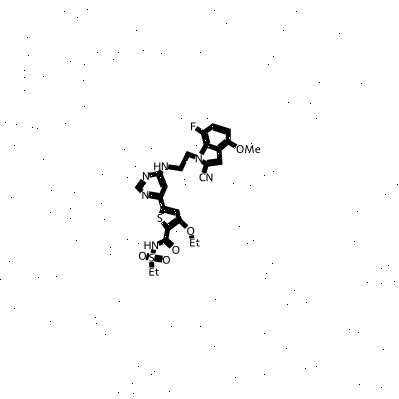 CCOc1cc(-c2cc(NCCn3c(C#N)cc4c(OC)ccc(F)c43)ncn2)sc1C(=O)NS(=O)(=O)CC